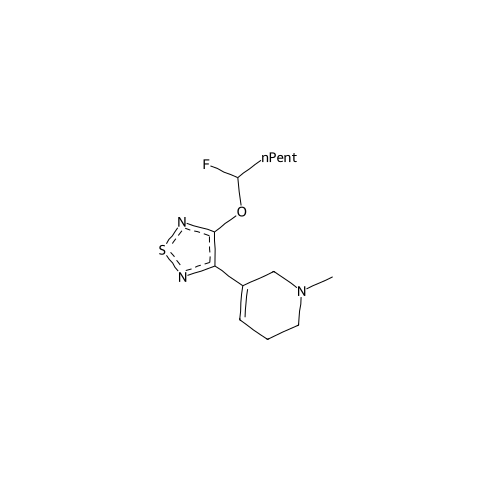 CCCCCC(F)Oc1nsnc1C1=CCCN(C)C1